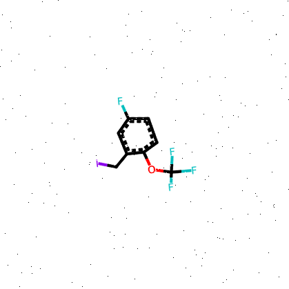 Fc1ccc(OC(F)(F)F)c(CI)c1